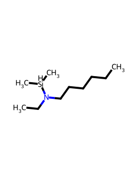 CCCCCCN(CC)[SiH](C)C